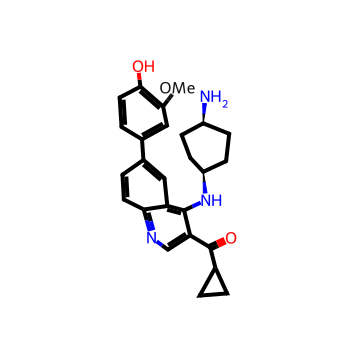 COc1cc(-c2ccc3ncc(C(=O)C4CC4)c(N[C@H]4CC[C@@H](N)CC4)c3c2)ccc1O